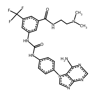 CN(C)CCNC(=O)c1cc(NC(=O)Nc2ccc(-n3cnc4ncnc(N)c43)cc2)cc(C(F)(F)F)c1